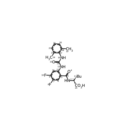 CC[C@H](C)[C@H](NC(=O)c1cc(F)c(F)cc1NC(=O)Nc1c(C)cccc1C)C(=O)O